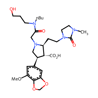 CCCCN(CCCO)C(=O)CN1C[C@H](c2cc(OC)c3c(c2)OCO3)[C@@H](C(=O)O)[C@@H]1CCN1CCN(C)C1=O